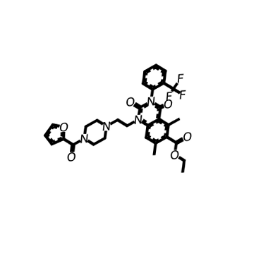 CCOC(=O)c1c(C)cc2c(c1C)c(=O)n(-c1ccccc1C(F)(F)F)c(=O)n2CCN1CCN(C(=O)c2ccco2)CC1